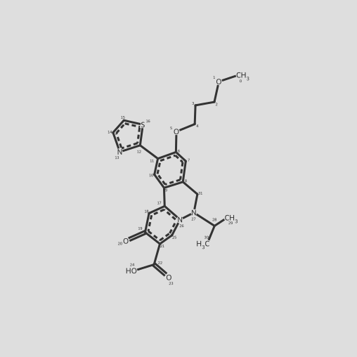 COCCCOc1cc2c(cc1-c1nccs1)-c1cc(=O)c(C(=O)O)cn1N(C(C)C)C2